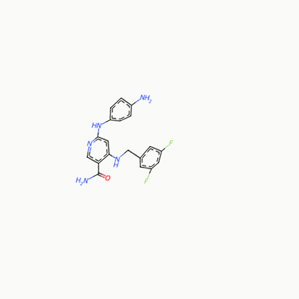 NC(=O)c1cnc(Nc2ccc(N)cc2)cc1NCc1cc(F)cc(F)c1